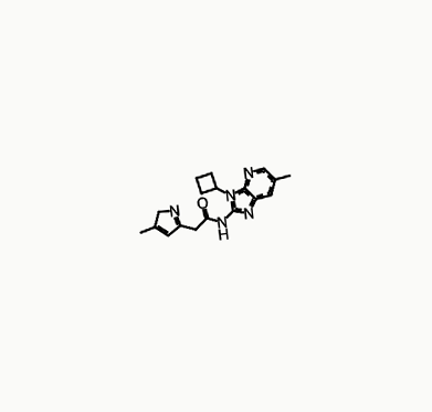 CC1=CC(CC(=O)Nc2nc3cc(C)cnc3n2C2CCC2)=NC1